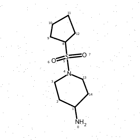 NC1CCN(S(=O)(=O)C2CCCC2)CC1